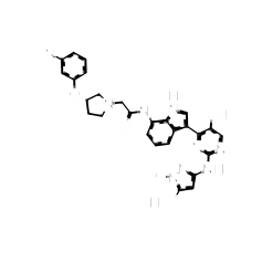 Cc1cnc(Nc2cc(C)n(C)n2)nc1-c1c[nH]c2c(NC(=O)CN3CC[C@H](Oc4cccc(N)c4)C3)cccc12